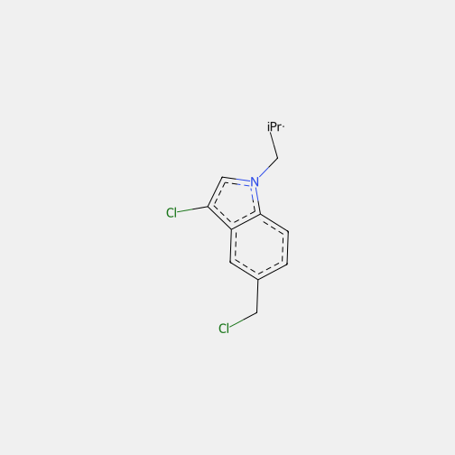 C[C](C)Cn1cc(Cl)c2cc(CCl)ccc21